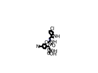 N#Cc1ccc([C@H](COP(=O)(O)O)N2C(=O)N/C(=C\c3c[nH]c4cc(Cl)ccc34)C2=O)cc1